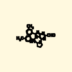 CCCC1CCCN1c1nc(C=O)nc2nc(-c3cccc(C)c3)n(Cc3ccc(C)cc3)c12